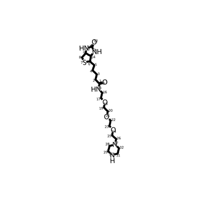 O=C(CCCCC1SCC2NC(=O)NC21)NCCOCCOCCOCCN1CCNCC1